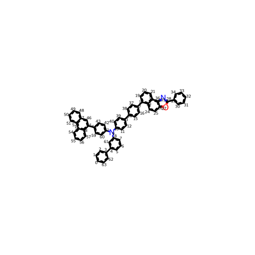 c1ccc(-c2cccc(N(c3ccc(-c4ccc(-c5cccc6c5ccc5oc(-c7ccccc7)nc56)cc4)cc3)c3ccc(-c4cc5ccccc5c5ccccc45)cc3)c2)cc1